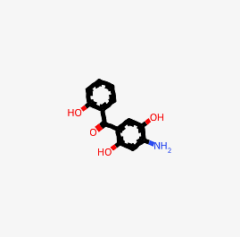 Nc1cc(O)c(C(=O)c2ccccc2O)cc1O